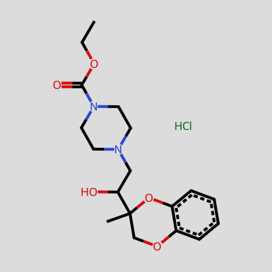 CCOC(=O)N1CCN(CC(O)C2(C)COc3ccccc3O2)CC1.Cl